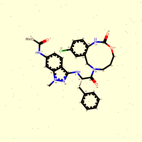 COC(=O)Nc1ccc2c(N[C@@H](Cc3ccccc3)C(=O)N3CCCOC(=O)Nc4ccc(Cl)cc4C3)nn(C)c2c1